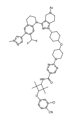 CC(=O)N1CCc2c(c(N3CCCc4cc(-c5cnn(C)c5)c(C(F)F)cc43)nn2C2CCC(OC3CCN(c4ncc(C(=O)NC5C(C)(C)C(Oc6ccc(C#N)c(Cl)c6)C5(C)C)cn4)CC3)CC2)C1